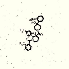 CCCCc1ccccc1C1(O)CCN(C(=O)[C@]2(Oc3csc(C(F)(F)F)c3)CCCN(C(=O)c3ncccc3C(F)(F)F)[C@@H]2CCC)CC1